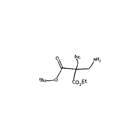 CCOC(=O)C(CN)(C(C)=O)C(=O)OC(C)(C)C